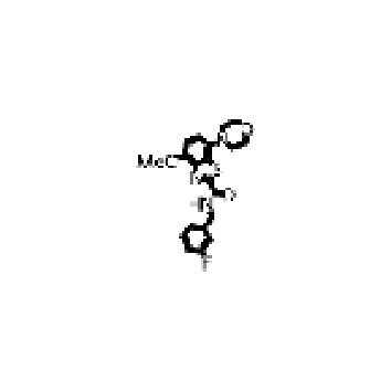 COc1ccc(N2CCOCC2)c2sc(C(=O)NCc3cccc(F)c3)nc12